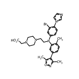 Cc1ccc(-c2c(C)noc2C)cc1N(CCN1CCN(CC(=O)O)CC1)c1ccc(-n2ccnc2)c(Br)c1